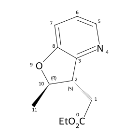 CCOC(=O)C[C@H]1c2ncccc2O[C@@H]1C